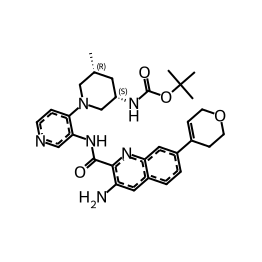 C[C@@H]1C[C@H](NC(=O)OC(C)(C)C)CN(c2ccncc2NC(=O)c2nc3cc(C4=CCOCC4)ccc3cc2N)C1